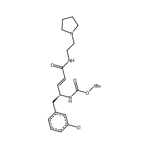 CC(C)(C)OC(=O)N[C@H](C=CC(=O)NCCN1CCCC1)Cc1cccc(Cl)c1